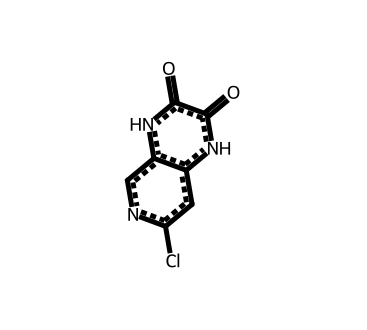 O=c1[nH]c2cnc(Cl)cc2[nH]c1=O